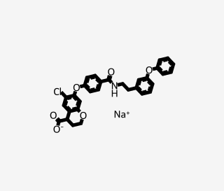 O=C(NCCc1cccc(Oc2ccccc2)c1)c1ccc(Oc2cc3c(cc2Cl)C(C(=O)[O-])CCO3)cc1.[Na+]